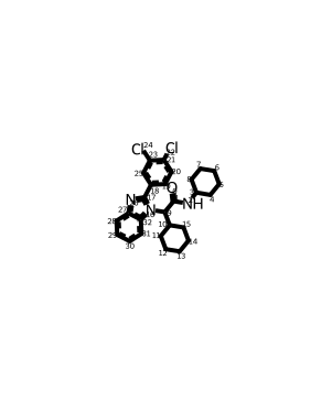 O=C(NC1CCCCC1)C(C1CCCCC1)n1c(-c2ccc(Cl)c(Cl)c2)nc2ccccc21